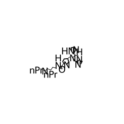 CCCN(CCC)CCCCNC(=O)c1ccc(CN(Cc2ncc[nH]2)C(C)c2ncc[nH]2)cn1